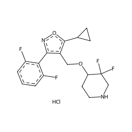 Cl.Fc1cccc(F)c1-c1noc(C2CC2)c1COC1CCNCC1(F)F